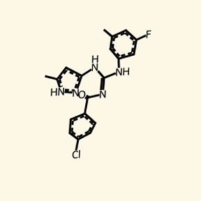 Cc1cc(F)cc(N/C(=N/C(=O)c2ccc(Cl)cc2)Nc2cc(C)[nH]n2)c1